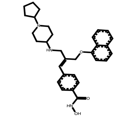 O=C(NO)c1ccc(/C=C(/CNC2CCN(C3CCCC3)CC2)COc2cccc3ccccc23)cc1